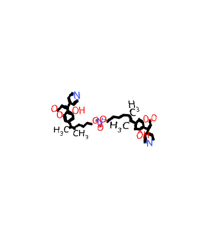 CC(CCCCO[N+](=O)OCCCCC(C)C(C)c1cc(O)c2c(-c3ccncc3)cc(=O)oc2c1)C(C)c1cc(O)c2c(-c3ccncc3)cc(=O)oc2c1